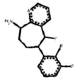 NC1CCC(c2cccc(F)c2F)C(F)c2cccnc21